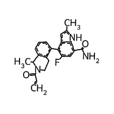 C=CC(=O)N1CCc2c(-c3c(F)cc(C(N)=O)c4[nH]c(C)cc34)cccc2C1C